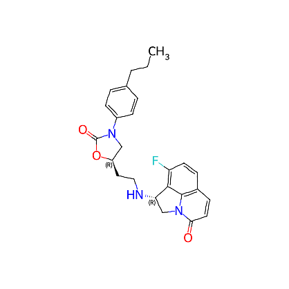 CCCc1ccc(N2C[C@@H](CCN[C@H]3Cn4c(=O)ccc5ccc(F)c3c54)OC2=O)cc1